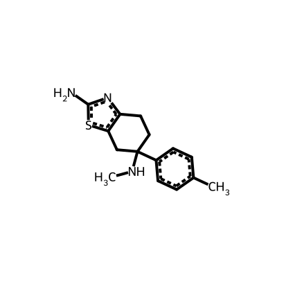 CNC1(c2ccc(C)cc2)CCc2nc(N)sc2C1